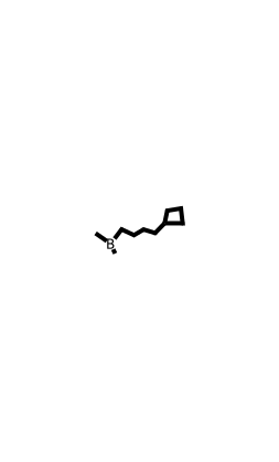 CB(C)CCCCC1CCC1